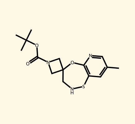 Cc1cnc2c(c1)SNCC1(CN(C(=O)OC(C)(C)C)C1)O2